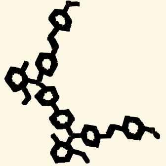 CCc1cccc(C)c1N(c1ccc(/C=C/c2ccc(OC)cc2)cc1)c1ccc(-c2ccc(N(c3ccc(/C=C/c4ccc(OC)cc4)cc3)c3c(C)cccc3CC)cc2)cc1